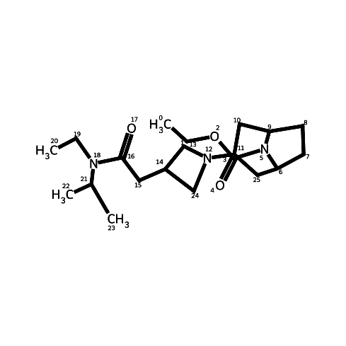 CCOC(=O)N1C2CCC1CC(N1CC(CC(=O)N(CC)C(C)C)C1)C2